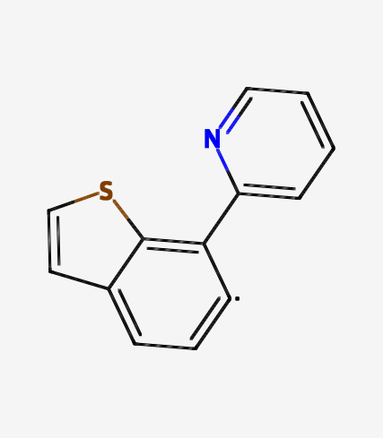 [c]1ccc2ccsc2c1-c1ccccn1